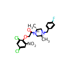 C[C@@H]1CN(Cc2ccc(F)cc2)[C@@H](C)CN1C(=O)COc1c(Cl)cc(Cl)cc1[N+](=O)[O-]